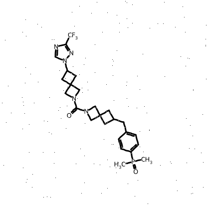 CP(C)(=O)c1ccc(CC2CC3(C2)CN(C(=O)N2CC4(CC(n5cnc(C(F)(F)F)n5)C4)C2)C3)cc1